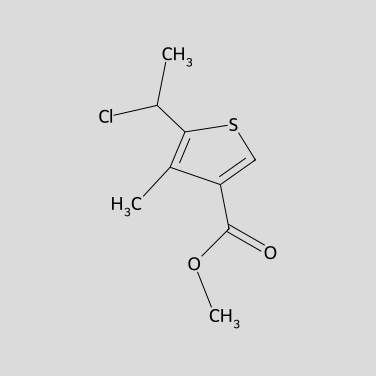 COC(=O)c1csc(C(C)Cl)c1C